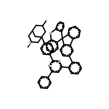 CC1CC2C[C@H](C)CC(c3ccc(-c4nc(-c5ccccc5)cc(-c5ccccc5-c5ccc6c(c5)-c5ccccc5C65c6ccccc6Oc6ccccc65)n4)cc3)(C1)C2